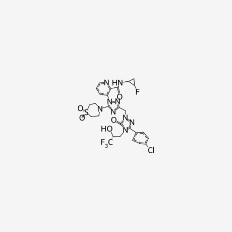 O=C(NC1CC1F)c1ncccc1-n1nc(Cn2nc(-c3ccc(Cl)cc3)n(C[C@@H](O)C(F)(F)F)c2=O)nc1N1CCS(=O)(=O)CC1